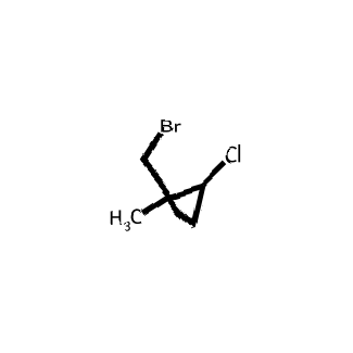 CC1(CBr)[CH]C1Cl